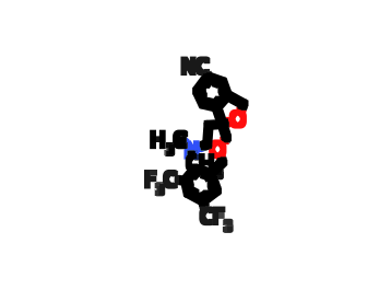 CN(C)CCC1(COCc2cc(C(F)(F)F)cc(C(F)(F)F)c2)OCc2cc(C#N)ccc21